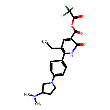 CCc1cc(C(=O)OC(=O)C(F)(F)F)c(=O)[nH]c1-c1ccc(N2CCC(N(C)C)C2)cc1